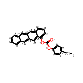 Cc1ccc(OC(=O)Oc2cccc3cc4cc5ccccc5cc4cc23)cc1